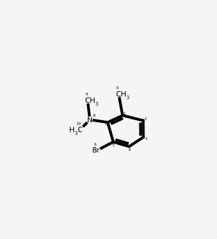 Cc1cccc(Br)c1N(C)C